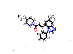 O=C(C=Cc1cc(C(F)(F)F)cc2ncn(-c3ccccc3)c12)N1CCC(C(F)(F)F)CC1